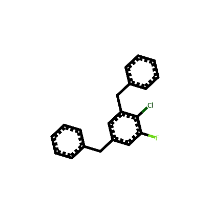 Fc1cc(Cc2ccccc2)cc(Cc2ccccc2)c1Cl